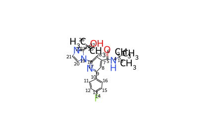 CC(C)(C)NC(=O)c1cc(-c2ccc(F)cc2)nc(-n2ccnc2C(C)(C)O)c1